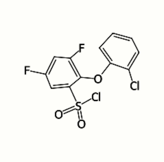 O=S(=O)(Cl)c1cc(F)cc(F)c1Oc1ccccc1Cl